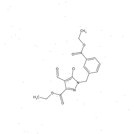 CCOC(=O)c1cccc(Cn2nc(C(=O)OCC)c(C=O)c2Cl)c1